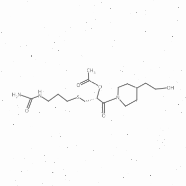 CC(=O)O[C@@H](CSCCCNC(N)=O)C(=O)N1CCC(CCO)CC1